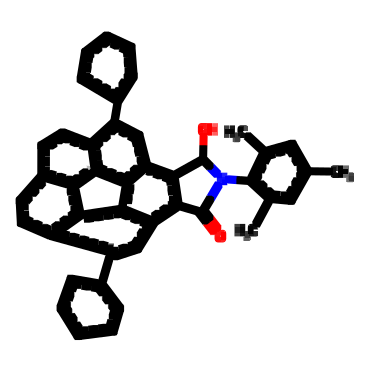 Cc1cc(C)c(N2C(=O)c3c(c4cc(-c5ccccc5)c5ccc6ccc7c(-c8ccccc8)cc3c3c7c6c5c43)C2O)c(C)c1